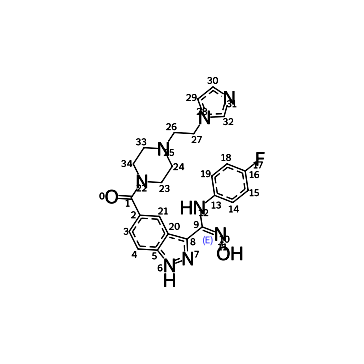 O=C(c1ccc2[nH]nc(/C(=N\O)Nc3ccc(F)cc3)c2c1)N1CCN(CCn2ccnc2)CC1